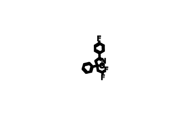 Fc1ccc(C2=NOC(CC(F)F)(c3ccccc3)C2)cc1